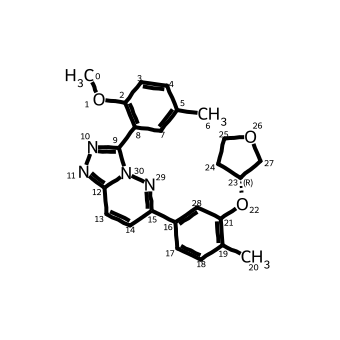 COc1ccc(C)cc1-c1nnc2ccc(-c3ccc(C)c(O[C@@H]4CCOC4)c3)nn12